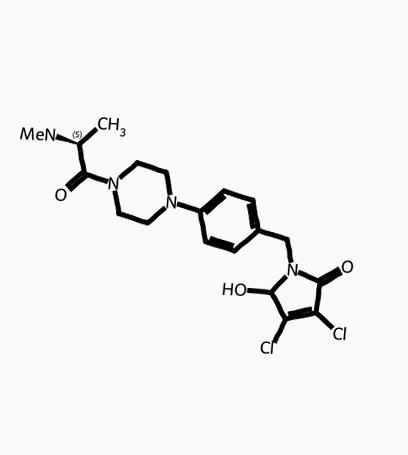 CN[C@@H](C)C(=O)N1CCN(c2ccc(CN3C(=O)C(Cl)=C(Cl)C3O)cc2)CC1